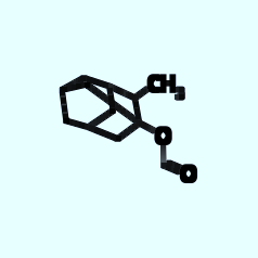 CC1C2CC3CC(C2)CC1(OC=O)C3